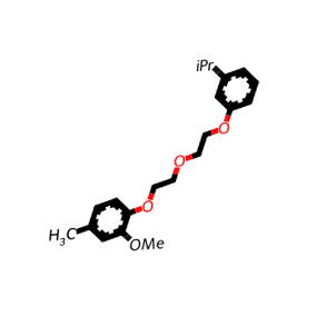 COc1cc(C)ccc1OCCOCCOc1cccc(C(C)C)c1